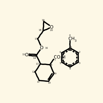 Cc1ccccc1.O=C(O)C1C=CCCC1C(=O)OCC1CO1